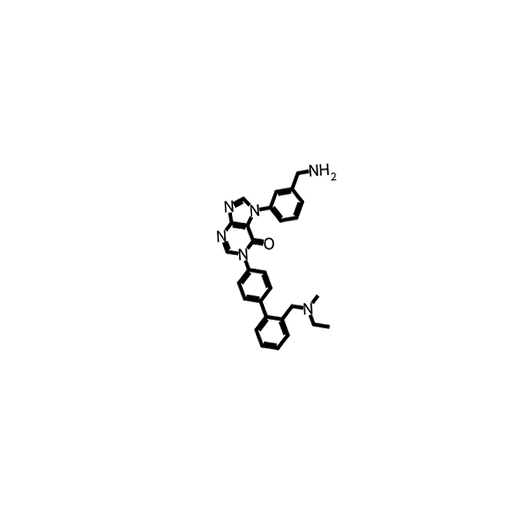 CCN(C)Cc1ccccc1-c1ccc(-n2cnc3ncn(-c4cccc(CN)c4)c3c2=O)cc1